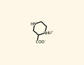 O=C([O-])C1CNCCN1.[Li+]